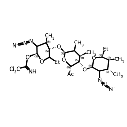 CCC1O[C@@H](OC(=N)C(Cl)(Cl)Cl)C(N=[N+]=[N-])[C@@H](C)[C@@H]1O[C@@H]1O[C@@H](C(C)=O)[C@@H](O[C@H]2O[C@@H](CC)[C@@H](C)[C@H](C)C2N=[N+]=[N-])[C@H](C)C1C